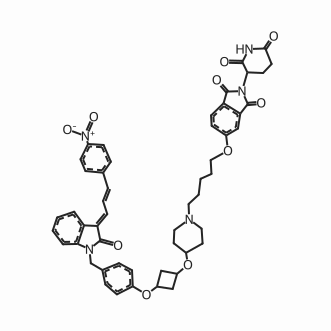 O=C1CCC(N2C(=O)c3ccc(OCCCCCN4CCC(OC5CC(Oc6ccc(CN7C(=O)C(=C/C=C/c8ccc([N+](=O)[O-])cc8)c8ccccc87)cc6)C5)CC4)cc3C2=O)C(=O)N1